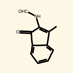 CC1=C(NC=O)C(=O)c2ccccc21